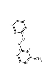 Cc1nccc(COc2ccccc2)n1